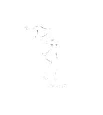 CCCCCC1CCC(c2ccc(C(F)(F)Oc3ccc(C#N)cc3)cc2)CC1